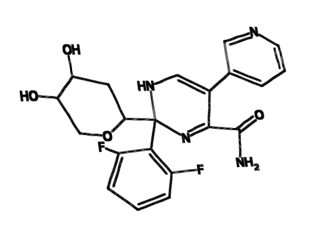 NC(=O)C1=NC(c2c(F)cccc2F)(C2CC(O)C(O)CO2)NC=C1c1cccnc1